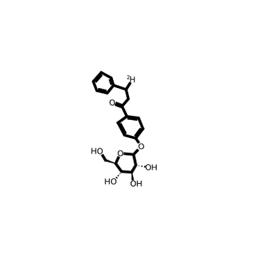 [2H]C(CC(=O)c1ccc(OC2O[C@H](CO)[C@@H](O)[C@H](O)[C@H]2O)cc1)c1ccccc1